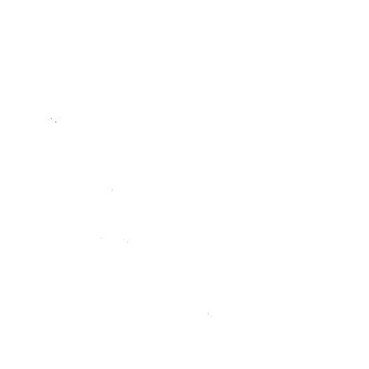 CCC(C)(Cc1ccc(S(C)(=O)=O)cc1)NCCCCN1CCN(S(=O)(=O)CCN(C)Cc2ccccc2)CC1=O